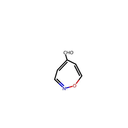 O=CC1=CC=NOC=C1